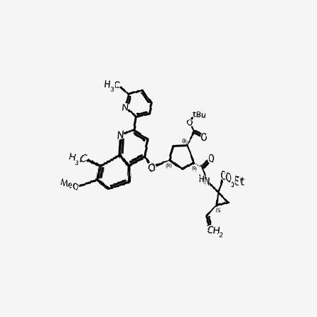 C=C[C@@H]1CC1(NC(=O)[C@@H]1C[C@@H](Oc2cc(-c3cccc(C)n3)nc3c(C)c(OC)ccc23)C[C@H]1C(=O)OC(C)(C)C)C(=O)OCC